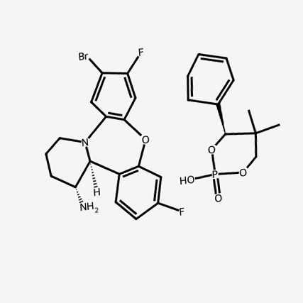 CC1(C)COP(=O)(O)O[C@H]1c1ccccc1.N[C@@H]1CCCN2c3cc(Br)c(F)cc3Oc3cc(F)ccc3[C@@H]12